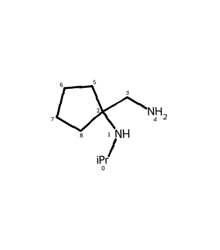 CC(C)NC1(CN)CCCC1